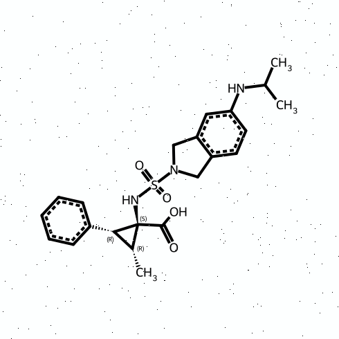 CC(C)Nc1ccc2c(c1)CN(S(=O)(=O)N[C@@]1(C(=O)O)[C@H](C)[C@@H]1c1ccccc1)C2